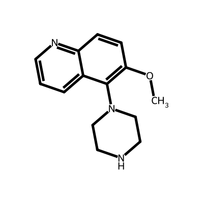 COc1ccc2ncccc2c1N1CCNCC1